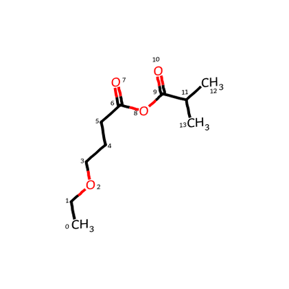 CCOCCCC(=O)OC(=O)C(C)C